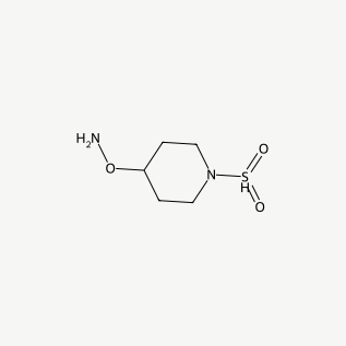 NOC1CCN([SH](=O)=O)CC1